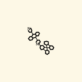 c1ccc2c(c1)-c1ccccc1C21c2ccccc2-c2ccc(-c3ccc(-c4c5ccccc5c(-c5ccncc5)c5ccccc45)cn3)cc21